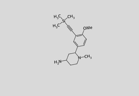 COc1ccc(C2CC(N)CCN2C)cc1C#C[Si](C)(C)C